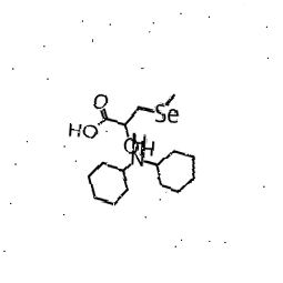 C1CCC(NC2CCCCC2)CC1.C[Se]CC(O)C(=O)O